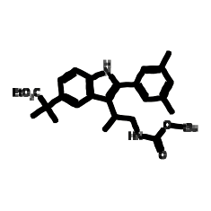 CCOC(=O)C(C)(C)c1ccc2[nH]c(-c3cc(C)cc(C)c3)c(C(C)CNC(=O)OC(C)(C)C)c2c1